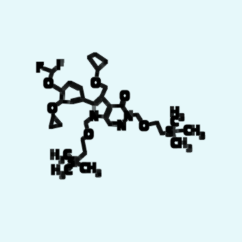 C[Si](C)(C)CCOCn1ncc2c(c(COC3CCC3)c(-c3ccc(OC(F)F)c(OC4CC4)c3)n2COCC[Si](C)(C)C)c1=O